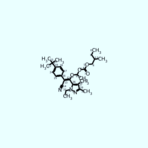 CCC(C)COC(=O)OC(C)O/C(=C(/C#N)c1ccc(C(C)(C)C)cc1)c1c(C)c(C)nn1CC